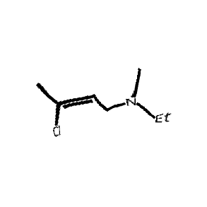 CCN(C)CC=C(C)Cl